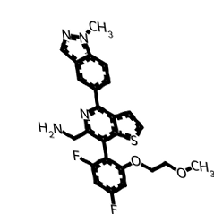 COCCOc1cc(F)cc(F)c1-c1c(CN)nc(-c2ccc3c(cnn3C)c2)c2ccsc12